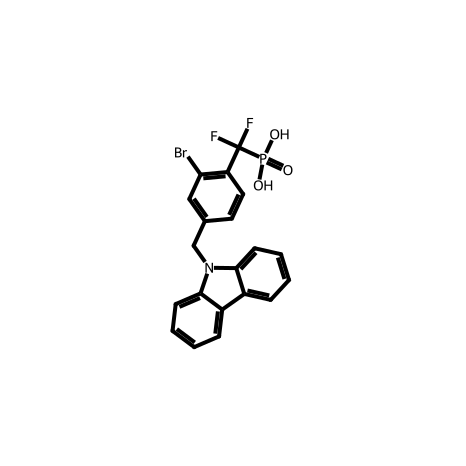 O=P(O)(O)C(F)(F)c1ccc(Cn2c3ccccc3c3ccccc32)cc1Br